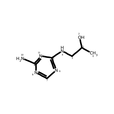 CC(O)CNc1n[c]nc(N)n1